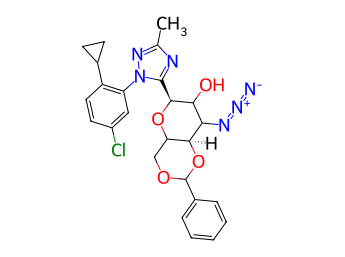 Cc1nc([C@@H]2OC3COC(c4ccccc4)O[C@@H]3C(N=[N+]=[N-])C2O)n(-c2cc(Cl)ccc2C2CC2)n1